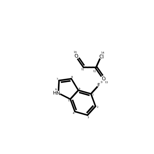 Fc1cccc2[nH]ccc12.O=CC(=O)Cl